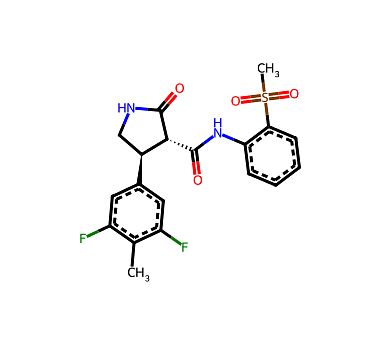 Cc1c(F)cc([C@H]2CNC(=O)[C@@H]2C(=O)Nc2ccccc2S(C)(=O)=O)cc1F